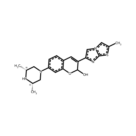 Cc1cn2cc(C3=Cc4ccc(N5C[C@@H](C)N[C@@H](C)C5)cc4OC3O)nc2s1